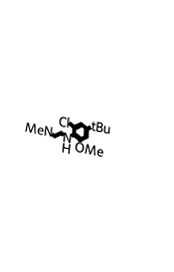 CNCCNc1c(Cl)cc(C(C)(C)C)cc1OC